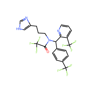 O=C(N(CCCc1c[nH]cn1)C(c1ccc(C(F)(F)F)cc1)c1ncccc1C(F)(F)F)C(F)(F)F